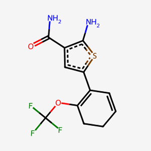 NC(=O)c1cc(C2=C(OC(F)(F)F)CCC=C2)sc1N